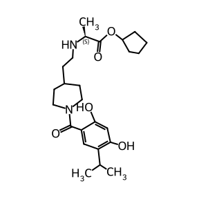 CC(C)c1cc(C(=O)N2CCC(CCN[C@@H](C)C(=O)OC3CCCC3)CC2)c(O)cc1O